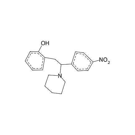 O=[N+]([O-])c1ccc(C(Cc2ccccc2O)N2CCCCC2)cc1